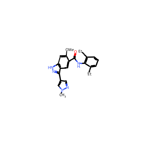 CCc1cccc(CC)c1NC(=O)c1cc2c(-c3cnn(C)c3)n[nH]c2cc1OC